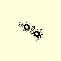 CC[C@H]1CC[C@H](C(=O)Oc2cc(F)c(F)c(F)c2)CC1